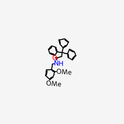 COc1ccc(CNC(=O)CC(c2ccccc2)(c2ccccc2)c2ccccc2)c(OC)c1